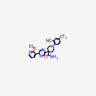 CCOc1ncccc1-c1cnc(C2(C(N)=O)CCN(c3ccc(C(F)(F)F)cc3C#N)CC2)cn1